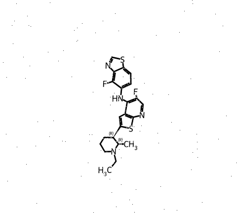 CCN1CCC[C@@H](c2cc3c(Nc4ccc5scnc5c4F)c(F)cnc3s2)[C@H]1C